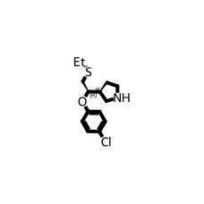 CCSC[C@H](Oc1ccc(Cl)cc1)[C@H]1CCNC1